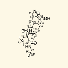 CC1(C)CC[C@]2(C(=O)NCC(F)(F)F)CC[C@]3(C)[C@H](C(=O)C=C4[C@@]5(C)Cc6cnoc6[C@@](C)(CO)C5CC[C@]43C)[C@@H]2C1